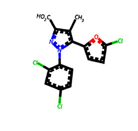 Cc1c(C(=O)O)nn(-c2ccc(Cl)cc2Cl)c1-c1ccc(Cl)o1